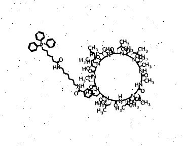 C/C=C/C[C@@H](C)[C@@H](O)[C@H]1C(=O)N[C@@H](CC)C(=O)N(C)C(Cc2ccc(C(=O)NCCCCCCNC(=O)CCCCC[P+](c3ccccc3)(c3ccccc3)c3ccccc3)cc2)C(=O)N(C)[C@@H](CC(C)C)C(=O)N[C@@H](C(C)C)C(=O)N(C)[C@@H](CC(C)C)C(=O)N[C@@H](C)C(=O)N[C@H](C)C(=O)N(C)[C@@H](CC(C)C)C(=O)N(C)[C@@H](CC(C)C)C(=O)N(C)[C@@H](C(C)C)C(=O)N1C